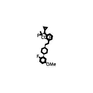 COc1ccc(F)c([C@H]2CC[C@H](CCc3cccc([C@H](C4CC4)C(C)(F)C(=O)O)c3)CC2)c1